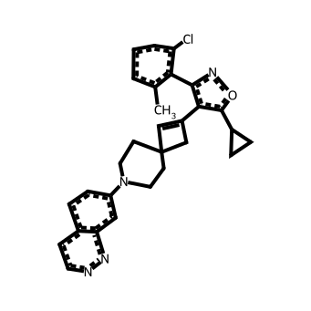 Cc1cccc(Cl)c1-c1noc(C2CC2)c1C1=CC2(CCN(c3ccc4ccnnc4c3)CC2)C1